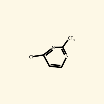 FC(F)(F)c1nc[c]c(Cl)n1